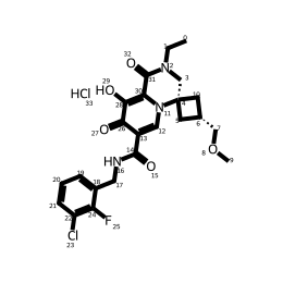 CCN1C[C@]2(C[C@@H](COC)C2)n2cc(C(=O)NCc3cccc(Cl)c3F)c(=O)c(O)c2C1=O.Cl